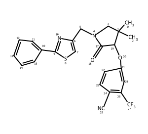 CC1(C)CN(Cc2csc(-c3ccccc3)n2)C(=O)C1Oc1ccc(C#N)c(C(F)(F)F)c1